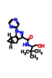 CC(C)(C)C(CO)NC(=O)c1nn(-c2cnccn2)c2c1C[C@@H]1C[C@H]21